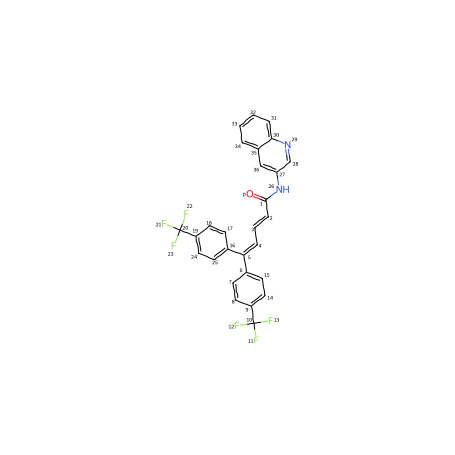 O=C(/C=C/C=C(c1ccc(C(F)(F)F)cc1)c1ccc(C(F)(F)F)cc1)Nc1cnc2ccccc2c1